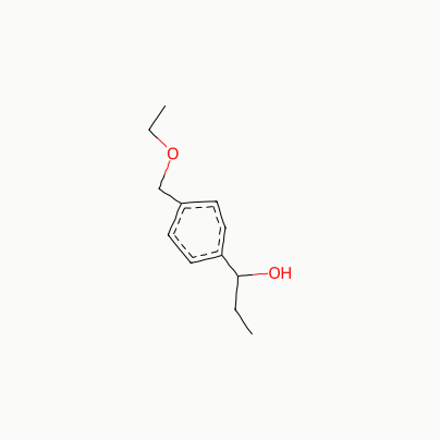 CCOCc1ccc(C(O)CC)cc1